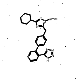 CCCCCn1nc(C2CCCCC2)nc1Cc1ccc(-c2cnccc2-c2nnn[nH]2)cc1